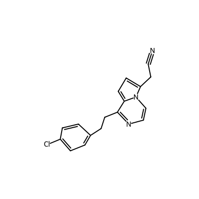 N#CCc1ccc2c(CCc3ccc(Cl)cc3)nccn12